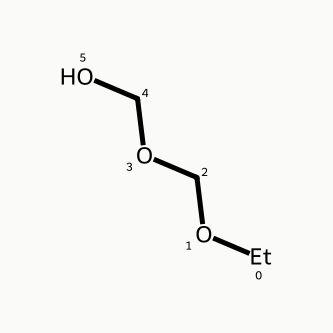 [CH2]COCOCO